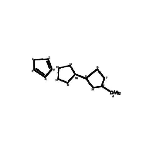 C1=CCC=C1.COC1CCC(C2CCCC2)C1